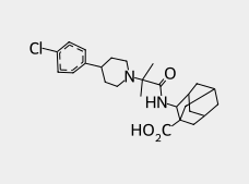 CC(C)(C(=O)NC1C2CC3CC(C2)CC1(C(=O)O)C3)N1CCC(c2ccc(Cl)cc2)CC1